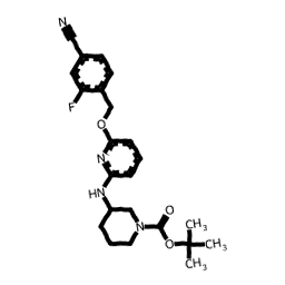 CC(C)(C)OC(=O)N1CCCC(Nc2cccc(OCc3ccc(C#N)cc3F)n2)C1